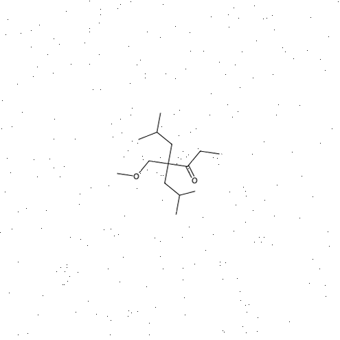 [CH2]CC(=O)C(COC)(CC(C)C)CC(C)C